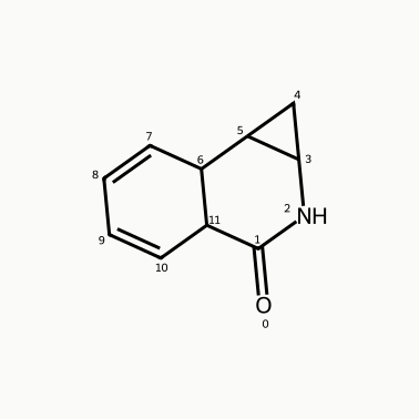 O=C1NC2CC2C2C=CC=CC12